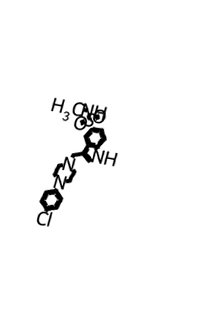 CNS(=O)(=O)c1ccc2[nH]cc(CN3CCN(c4ccc(Cl)cc4)CC3)c2c1